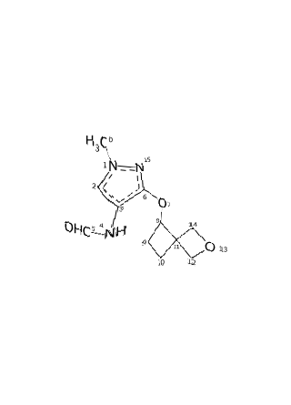 Cn1cc(NC=O)c(OC2CCC23COC3)n1